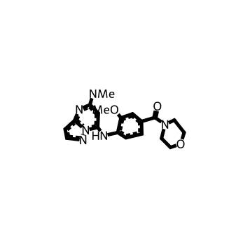 CNc1cc(Nc2ccc(C(=O)N3CCOCC3)cc2OC)n2nccc2n1